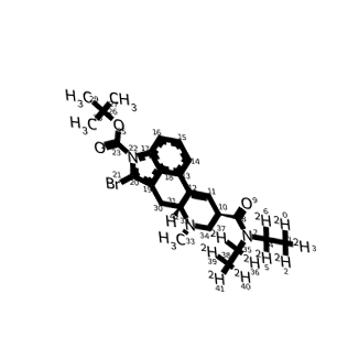 [2H]C([2H])([2H])C([2H])([2H])N(C(=O)[C@@H]1C=C2c3cccc4c3c(c(Br)n4C(=O)OC(C)(C)C)C[C@H]2N(C)C1)C([2H])([2H])C([2H])([2H])[2H]